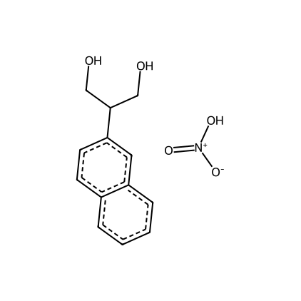 O=[N+]([O-])O.OCC(CO)c1ccc2ccccc2c1